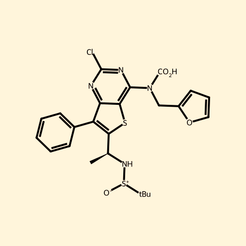 C[C@H](N[S+]([O-])C(C)(C)C)c1sc2c(N(Cc3ccco3)C(=O)O)nc(Cl)nc2c1-c1ccccc1